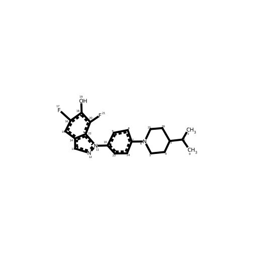 CC(C)C1CCN(c2ccc(-n3ncc4cc(F)c(O)c(F)c43)cc2)CC1